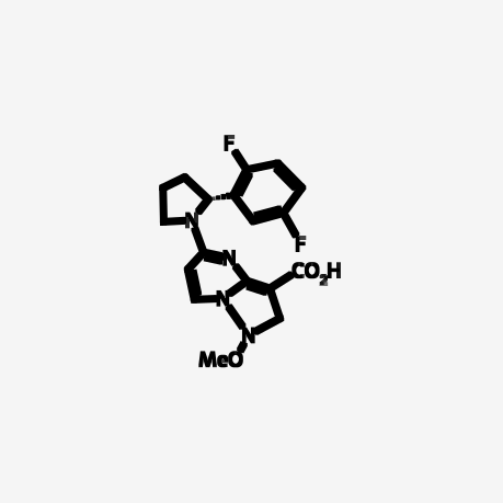 CON1CC(C(=O)O)=C2N=C(N3CCC[C@@H]3c3cc(F)ccc3F)C=CN21